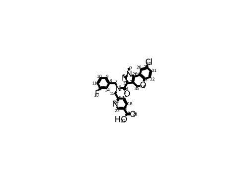 Cn1nc(C(=O)N(Cc2cccc(F)c2)Cc2ccc(C(=O)O)cn2)c2c1-c1cc(Cl)ccc1OC2